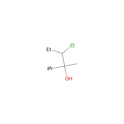 CCC(Cl)C(C)(O)C(C)C